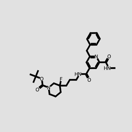 CNC(=O)c1cc(C(=O)NCCCC2(F)CCCN(C(=O)OC(C)(C)C)C2)cc(Cc2ccccc2)n1